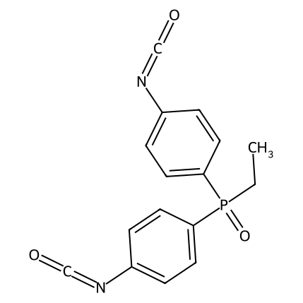 CCP(=O)(c1ccc(N=C=O)cc1)c1ccc(N=C=O)cc1